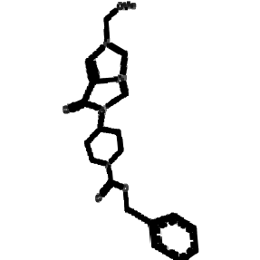 COCN1C=C2C(=O)N(C3CCN(C(=O)OCc4ccccc4)CC3)CN2C1